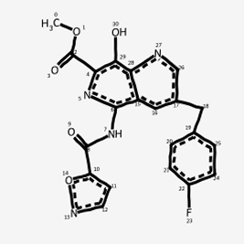 COC(=O)c1nc(NC(=O)c2ccno2)c2cc(Cc3ccc(F)cc3)cnc2c1O